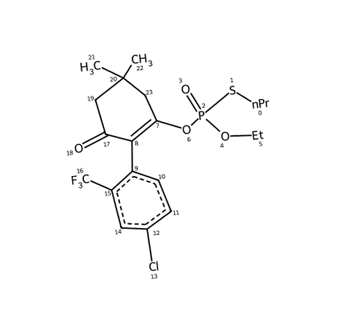 CCCSP(=O)(OCC)OC1=C(c2ccc(Cl)cc2C(F)(F)F)C(=O)CC(C)(C)C1